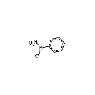 O=[N+]([O-])N(Cl)c1ccccc1